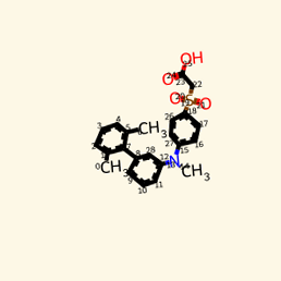 Cc1cccc(C)c1-c1cccc(N(C)c2ccc(S(=O)(=O)CC(=O)O)cc2)c1